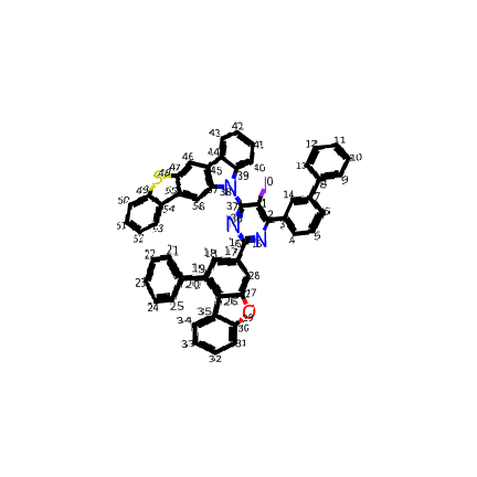 Ic1c(-c2cccc(-c3ccccc3)c2)nc(-c2cc(-c3ccccc3)c3c(c2)oc2ccccc23)nc1-n1c2ccccc2c2cc3sc4ccccc4c3cc21